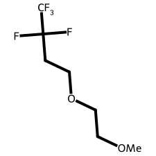 COCCOCCC(F)(F)C(F)(F)F